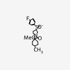 COC1(C(=O)N2CCC([S+]([O-])c3ccc(F)cc3)C2)CCC(C)CC1